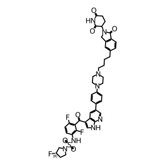 O=C1CCC(N2Cc3cc(CCCCN4CCN(c5ccc(-c6cnc7[nH]cc(C(=O)c8c(F)ccc(NS(=O)(=O)N9CC[C@@H](F)C9)c8F)c7c6)cc5)CC4)ccc3C2=O)C(=O)N1